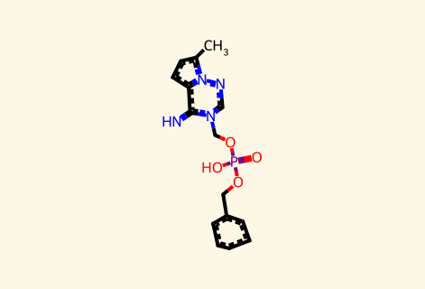 Cc1ccc2c(=N)n(COP(=O)(O)OCc3ccccc3)cnn12